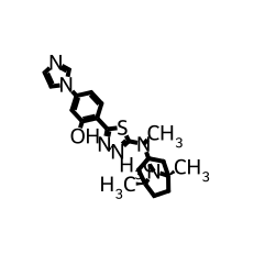 CN(c1nnc(-c2ccc(-n3ccnc3)cc2O)s1)C1C[C@]2(C)CC[C@](C)(C1)N2C